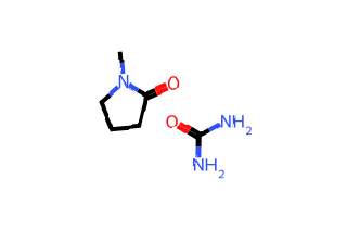 CN1CCCC1=O.NC(N)=O